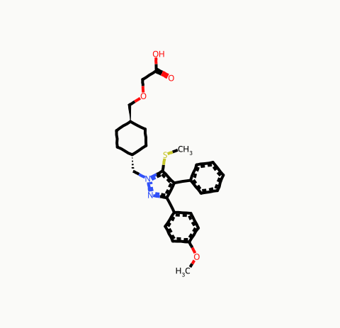 COc1ccc(-c2nn(C[C@H]3CC[C@H](COCC(=O)O)CC3)c(SC)c2-c2ccccc2)cc1